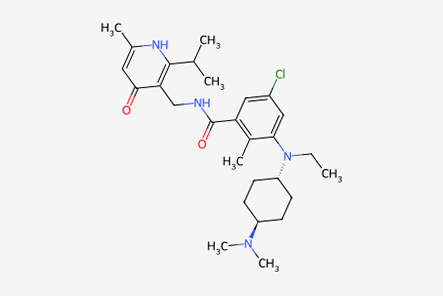 CCN(c1cc(Cl)cc(C(=O)NCc2c(C(C)C)[nH]c(C)cc2=O)c1C)[C@H]1CC[C@H](N(C)C)CC1